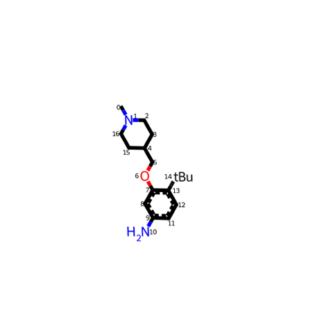 CN1CCC(COc2cc(N)ccc2C(C)(C)C)CC1